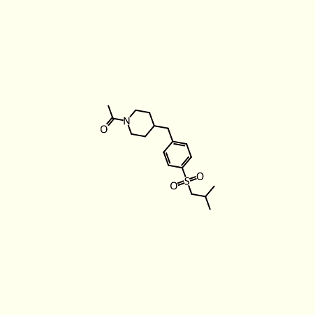 CC(=O)N1CCC(Cc2ccc(S(=O)(=O)CC(C)C)cc2)CC1